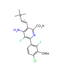 COc1c(Cl)ccc(-c2nc(C(=O)O)c(/C=C/[Si](C)(C)C)c(N)c2F)c1F